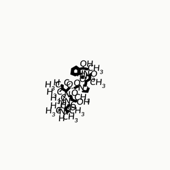 CC[C@H](C)[C@@H]([C@@H](CC(=O)N1CCC[C@H]1[C@H](OC)[C@@H](C)C(=O)N[C@H](C)[C@@H](O)c1ccccc1)OC)N(C)C(=O)[C@@H](NC(=O)C(C)(NC)C(C)C)C(C)(C)O